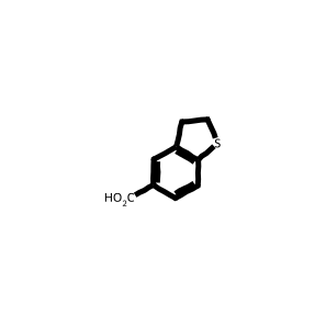 O=C(O)c1ccc2c(c1)CCS2